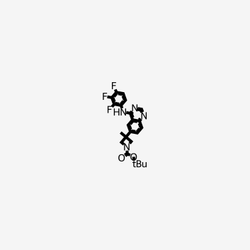 CC(C)(C)OC(=O)N1CC(C)(c2ccc3ncnc(Nc4ccc(F)c(F)c4F)c3c2)C1